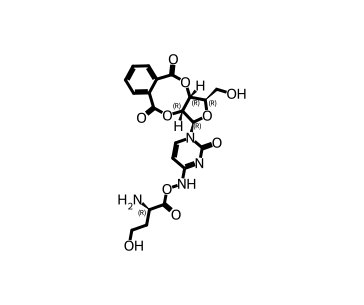 N[C@H](CCO)C(=O)ONc1ccn([C@@H]2O[C@H](CO)[C@H]3OC(=O)c4ccccc4C(=O)O[C@H]32)c(=O)n1